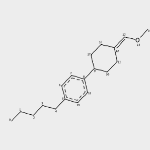 CCCCCc1ccc(C2CCC(=COC)CC2)cc1